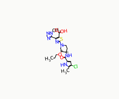 CCCO[C@H]1CN(c2nc(-c3ncnn3C)c(C(=O)O)s2)CC[C@H]1NC(=O)c1cc(Cl)c(C)[nH]1